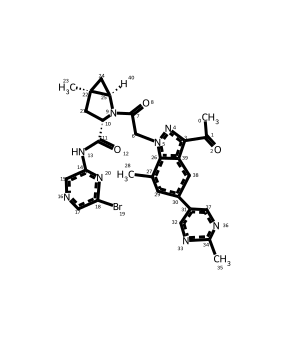 CC(=O)c1nn(CC(=O)N2[C@H](C(=O)Nc3cncc(Br)n3)C[C@@]3(C)C[C@@H]23)c2c(C)cc(-c3cnc(C)nc3)cc12